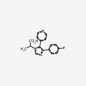 CC(C(=O)O)n1cnc(-c2ccc(F)cc2)c1-c1ccncc1